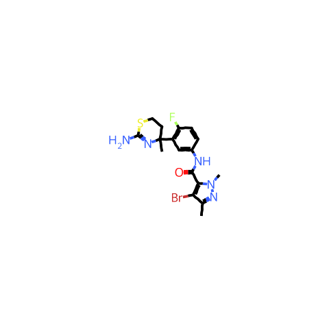 Cc1nn(C)c(C(=O)Nc2ccc(F)c(C3(C)CCSC(N)=N3)c2)c1Br